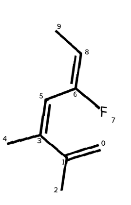 C=C(C)/C(C)=C\C(F)=C/C